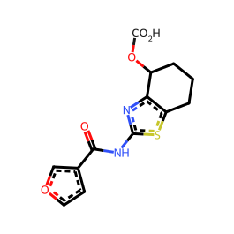 O=C(O)OC1CCCc2sc(NC(=O)c3ccoc3)nc21